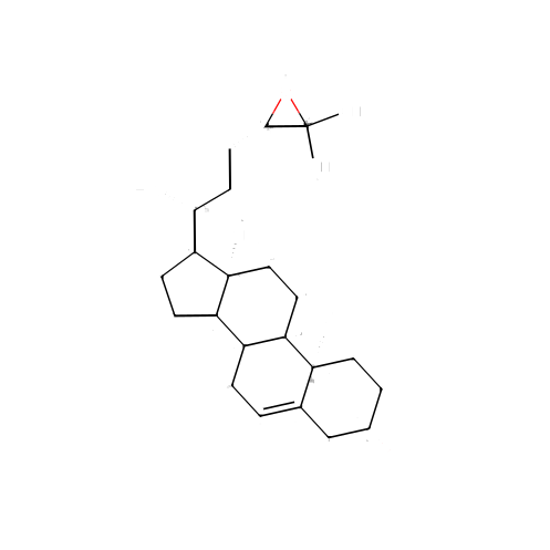 C[C@H](CC[C@@H]1OC1(C)C)C1CCC2C3CC=C4C[C@@H](O)CC[C@]4(C)C3CC[C@@]21C